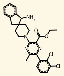 CCOC(=O)c1nc(-c2cccc(Cl)c2Cl)c(C)nc1N1CCC2(CC1)Cc1ccccc1C2N